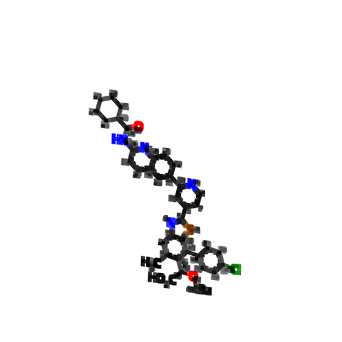 Cc1cc2nc(-c3ccnc(-c4ccc5nc(NC(=O)C6CCCCC6)ccc5c4)c3)sc2c(-c2ccc(Cl)cc2)c1C(OC(C)(C)C)C(=O)O